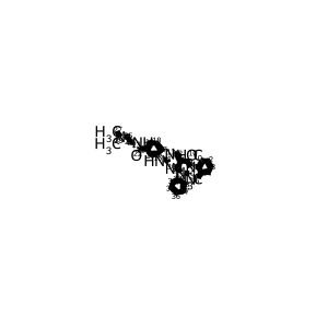 Cc1cccc(C)c1-n1c(=O)c2cnc(Nc3cccc(C(=O)NCCN(C)C)c3)nc2n2c3ccccc3nc12